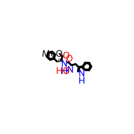 COC(=O)[C@H](Cc1ccccc1)NC(=O)C(Cc1c[nH]c2ccccc12)=NO